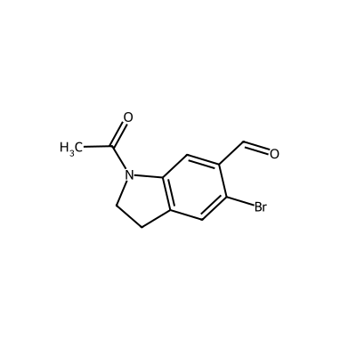 CC(=O)N1CCc2cc(Br)c(C=O)cc21